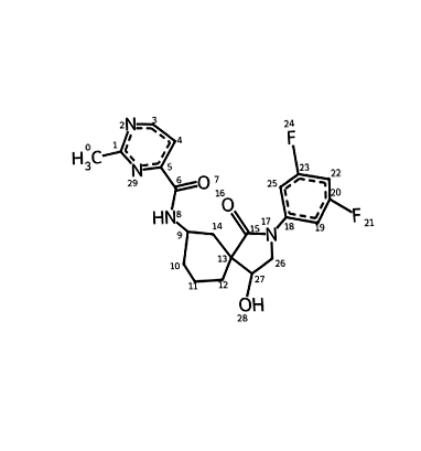 Cc1nccc(C(=O)NC2CCCC3(C2)C(=O)N(c2cc(F)cc(F)c2)CC3O)n1